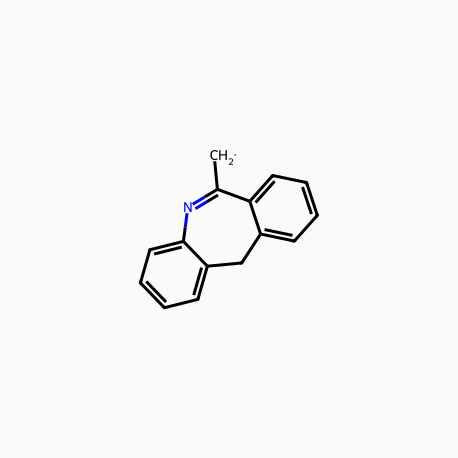 [CH2]C1=Nc2ccccc2Cc2ccccc21